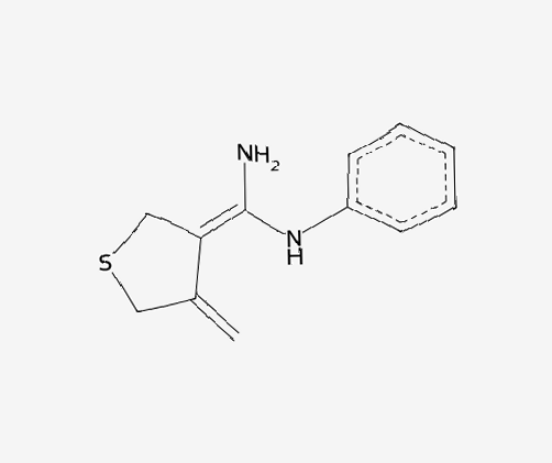 C=C1CSC/C1=C(\N)Nc1ccccc1